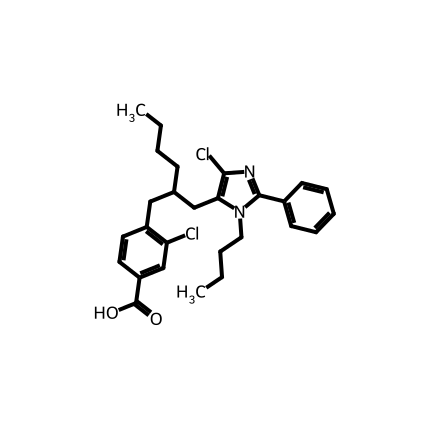 CCCCC(Cc1ccc(C(=O)O)cc1Cl)Cc1c(Cl)nc(-c2ccccc2)n1CCCC